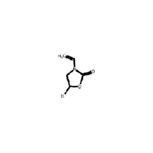 C=CN1CC(CC)OC1=O